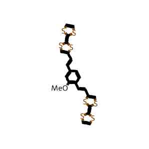 COc1cc(/C=C/C2=CSC(=C3SC=CS3)S2)ccc1/C=C/C1=CSC(=C2SC=CS2)S1